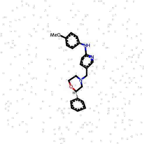 COc1ccc(Nc2ccc(CN3CCO[C@@H](c4ccccc4)C3)cn2)cc1